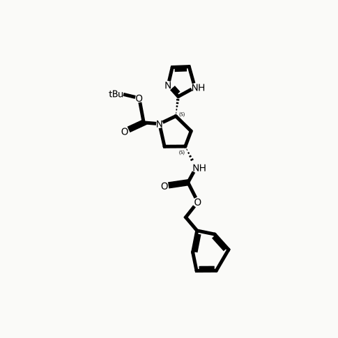 CC(C)(C)OC(=O)N1C[C@@H](NC(=O)OCc2ccccc2)C[C@H]1c1ncc[nH]1